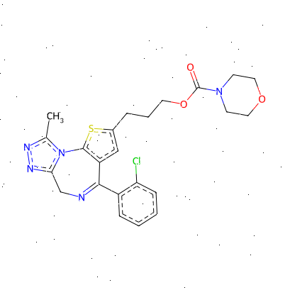 Cc1nnc2n1-c1sc(CCCOC(=O)N3CCOCC3)cc1C(c1ccccc1Cl)=NC2